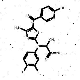 CC(C(N)=O)N(c1ccc(F)c(F)c1)c1nc(N)c(C(=O)c2ccc(O)cc2)s1